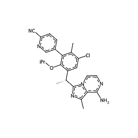 Cc1c(Cl)cc([C@@H](C)c2nc(C)c3c(N)nccn23)c(OC(C)C)c1-c1ccc(C#N)nc1